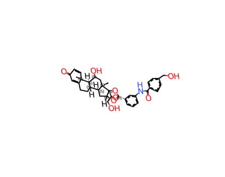 C[C@]12C=CC(=O)C=C1CC[C@@H]1[C@@H]2[C@@H](O)C[C@@]2(C)[C@H]1C[C@H]1O[C@@H](c3cccc(NC(=O)c4ccc(CO)cc4)c3)O[C@]12C(=O)CO